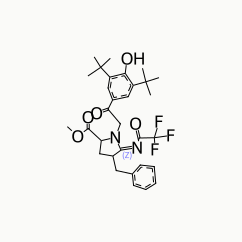 COC(=O)C1CC(Cc2ccccc2)/C(=N/C(=O)C(F)(F)F)N1CC(=O)c1cc(C(C)(C)C)c(O)c(C(C)(C)C)c1